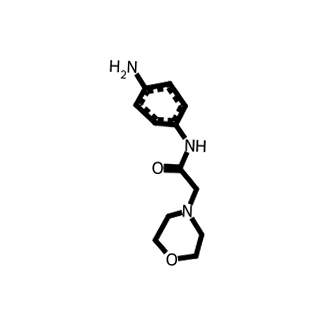 Nc1ccc(NC(=O)CN2CCOCC2)cc1